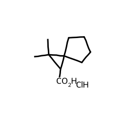 CC1(C)C(C(=O)O)C12CCCC2.Cl